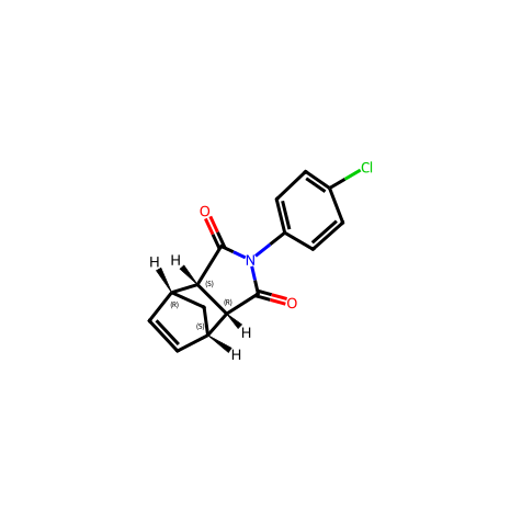 O=C1[C@@H]2[C@H](C(=O)N1c1ccc(Cl)cc1)[C@@H]1C=C[C@H]2C1